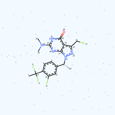 C[C@H](c1ccc(C(C)(F)F)c(F)c1)n1nc(CF)c2c(=O)[nH]c(N(C)C)nc21